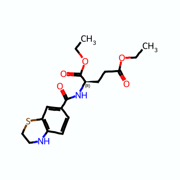 CCOC(=O)CC[C@@H](NC(=O)c1ccc2c(c1)SCCN2)C(=O)OCC